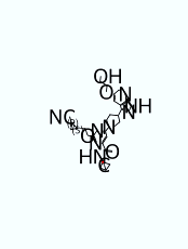 N#C[C@@H]1C[C@@H]1COc1nc(C(=O)NC23CC(C2)C3)cc(N2CCC(c3n[nH]c4ncc(OCCO)cc34)CC2)n1